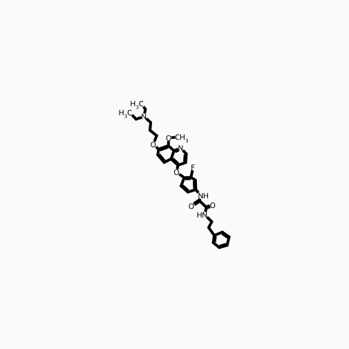 CCN(CC)CCCOc1ccc2c(Oc3ccc(NC(=O)C(=O)NCCc4ccccc4)cc3F)ccnc2c1OC